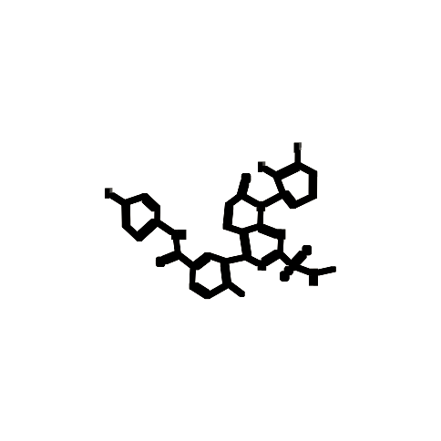 CNS(=O)(=O)c1nc(-c2cc(C(=O)Nc3ccc(F)cc3)ccc2C)c2ccc(=O)n(-c3cccc(F)c3F)c2n1